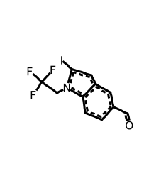 O=Cc1ccc2c(c1)cc(I)n2CC(F)(F)F